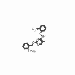 COc1ccccc1COc1ncc(F)c(NSc2ccccc2[N+](=O)[O-])n1